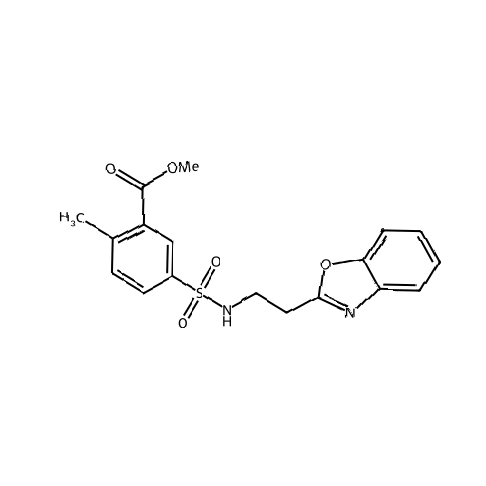 COC(=O)c1cc(S(=O)(=O)NCCc2nc3ccccc3o2)ccc1C